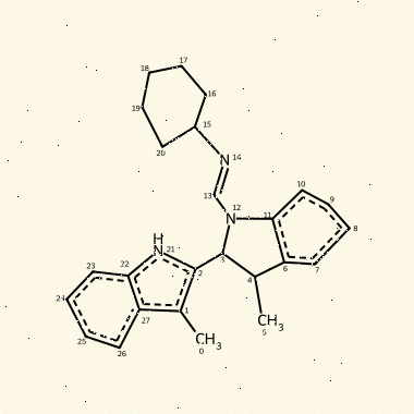 Cc1c(C2C(C)c3ccccc3N2C=NC2CCCCC2)[nH]c2ccccc12